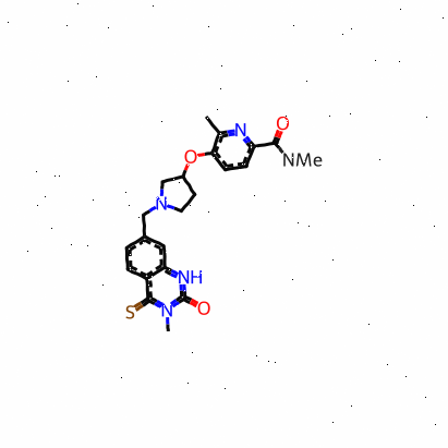 CNC(=O)c1ccc(OC2CCN(Cc3ccc4c(=S)n(C)c(=O)[nH]c4c3)C2)c(C)n1